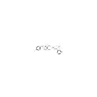 CCC(=O)NC(CCN1CCC2(CC1)CCN(Cc1ccc(Br)cc1)C2=O)c1cccc(Cl)c1